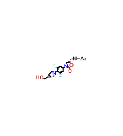 CC(=O)NC[C@H]1CN(c2cc(F)c(N3CC4C(CO)C4C3)c(F)c2)C(=O)O1